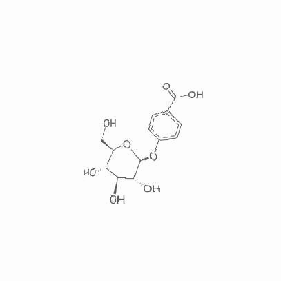 O=C(O)c1ccc(O[C@@H]2O[C@H](CO)[C@@H](O)[C@H](O)[C@H]2O)cc1